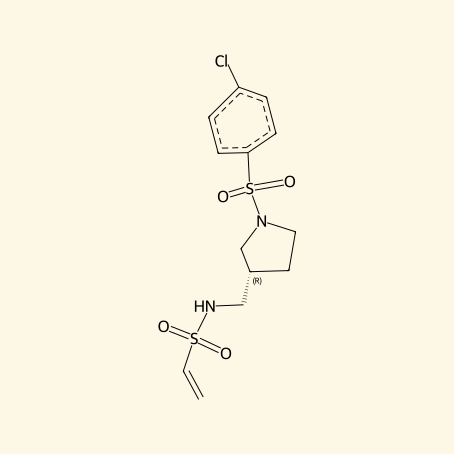 C=CS(=O)(=O)NC[C@H]1CCN(S(=O)(=O)c2ccc(Cl)cc2)C1